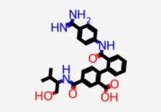 CC(C)C(CO)NC(=O)c1ccc(-c2ccccc2C(=O)Nc2ccc(C(=N)N)cc2)c(C(=O)O)c1